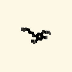 CCCCOc1cc(OC)c(Cl)cc1N